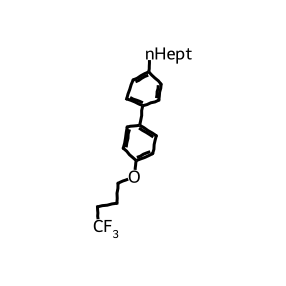 CCCCCCCc1ccc(-c2ccc(OCCCC(F)(F)F)cc2)cc1